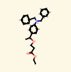 CCOC(=O)CCOC(C)c1ccc(N(Cc2ccccc2)Cc2ccccc2)cc1